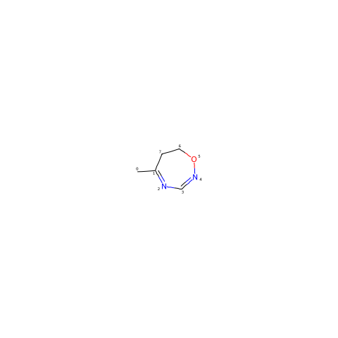 CC1=NC=NOCC1